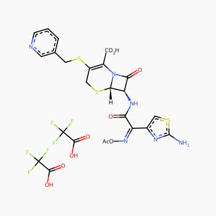 CC(=O)O/N=C(\C(=O)N[C@@H]1C(=O)N2C(C(=O)O)=C(SCc3cccnc3)CS[C@@H]12)c1csc(N)n1.O=C(O)C(F)(F)F.O=C(O)C(F)(F)F